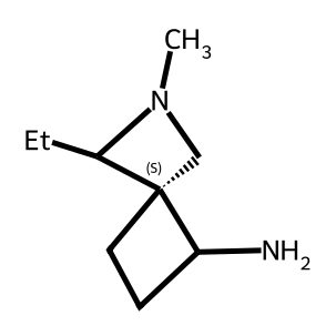 CCC1N(C)C[C@]12CCC2N